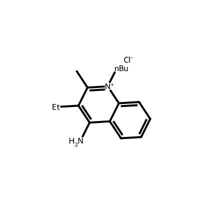 CCCC[n+]1c(C)c(CC)c(N)c2ccccc21.[Cl-]